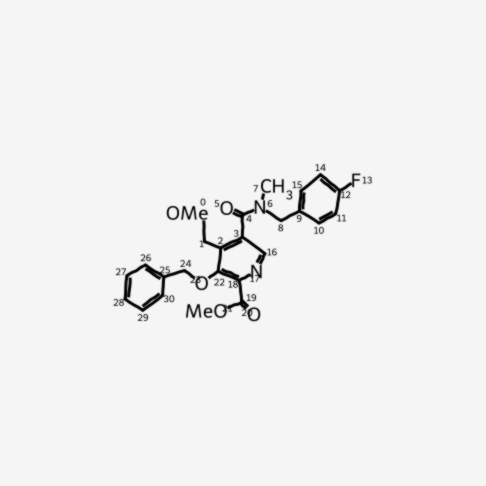 COCc1c(C(=O)N(C)Cc2ccc(F)cc2)cnc(C(=O)OC)c1OCc1ccccc1